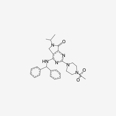 CC(C)N1Cc2c(NC(c3ccccc3)c3ccccc3)nc(N3CCN(S(C)(=O)=O)CC3)nc2C1=O